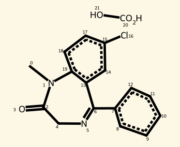 CN1C(=O)CN=C(c2ccccc2)c2cc(Cl)ccc21.O=C(O)O